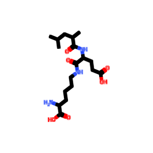 CC(C)CC(C)C(=O)NC(CCC(=O)O)C(=O)NCCCCC(N)C(=O)O